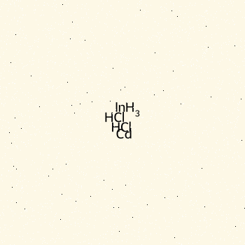 Cl.Cl.[Cd].[InH3]